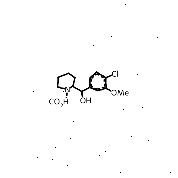 COc1cc(C(O)C2CCCCN2C(=O)O)ccc1Cl